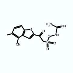 Cc1ccc2sc(C(=O)CS(=O)(=O)ONC(=N)N)cc2c1C#N